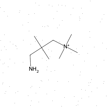 CC(C)(CN)C[N+](C)(C)C